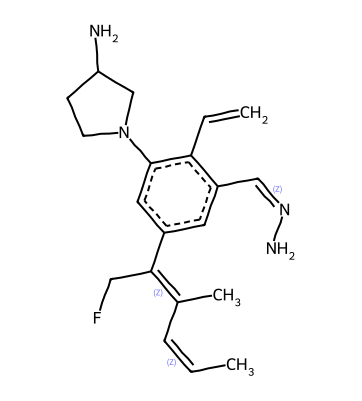 C=Cc1c(/C=N\N)cc(/C(CF)=C(C)/C=C\C)cc1N1CCC(N)C1